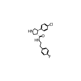 O=C(NCCc1ccc(F)cc1)[C@@H]1CNC[C@H]1c1ccc(Cl)cc1